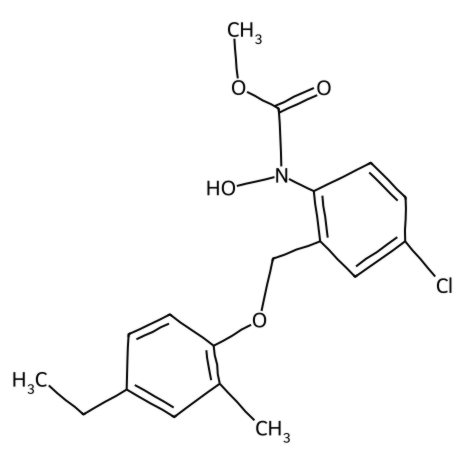 CCc1ccc(OCc2cc(Cl)ccc2N(O)C(=O)OC)c(C)c1